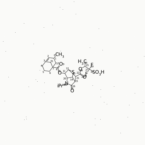 CC1C=C2CCCC(C(=O)OC3C4SC5C(C(=O)N(C(C)C)C35)C4C(=O)OC(C)C(F)(F)S(=O)(=O)O)(C2)C1